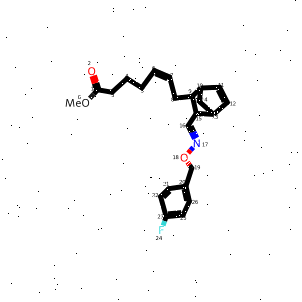 COC(=O)CCC/C=C\CC1C2C=CC(C2)C1C=NOCc1ccc(F)cc1